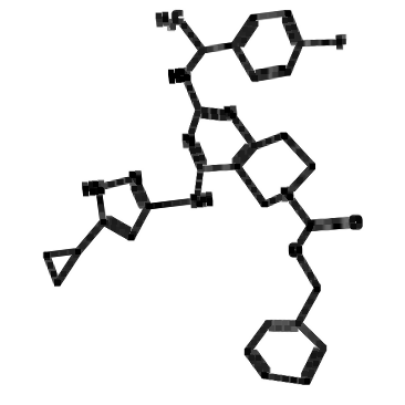 CC(Nc1nc2c(c(Nc3cc(C4CC4)[nH]n3)n1)CN(C(=O)OCc1ccccc1)CC2)c1ccc(F)cc1